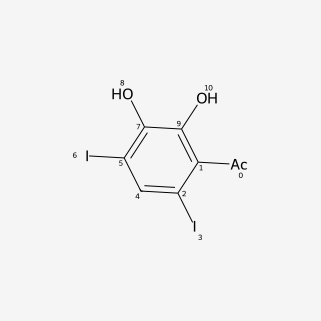 CC(=O)c1c(I)cc(I)c(O)c1O